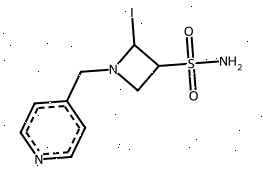 NS(=O)(=O)C1CN(Cc2ccncc2)C1I